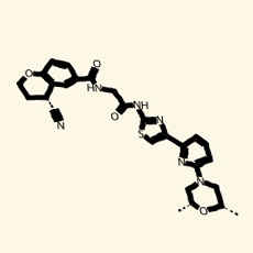 C[C@@H]1CN(c2cccc(-c3csc(NC(=O)CNC(=O)c4ccc5c(c4)[C@H](C#N)CCO5)n3)n2)C[C@H](C)O1